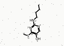 CCCCNc1ncc(O)c(SC)n1